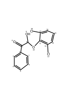 O=C(c1ccccc1)C(O)Oc1c(Cl)cccc1Cl